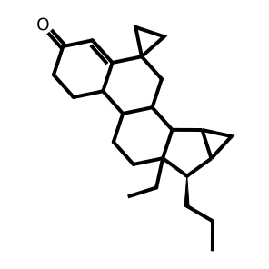 CCC[C@@H]1C2CC2C2C3CC4(CC4)C4=CC(=O)CCC4C3CCC21CC